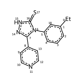 CCc1cccc(-n2c(-c3ccncc3)n[nH]c2=S)c1